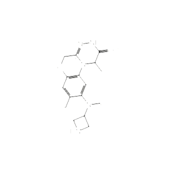 Cc1cc2c(cc1N(C)C1CNC1)N1C(=NNC(=O)C1C)CO2